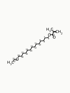 C=C(C)C(=O)OCCCCCCCCCCCCCCOCC